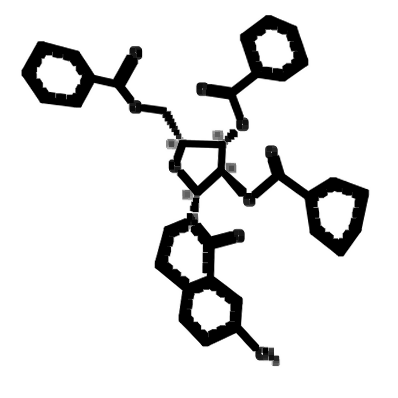 Cc1ccc2ccn([C@@H]3O[C@H](COC(=O)c4ccccc4)[C@H](OC(=O)c4ccccc4)[C@H]3OC(=O)c3ccccc3)c(=O)c2c1